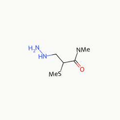 CNC(=O)C(CNN)SC